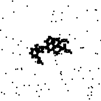 CN/C(C)=C(\C(C)=N)c1ccc(NCc2c(F)cccc2OC)n2cnnc12